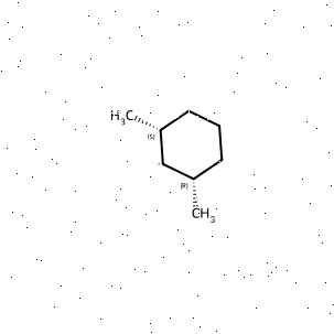 C[C@@H]1[CH][C@H](C)CCC1